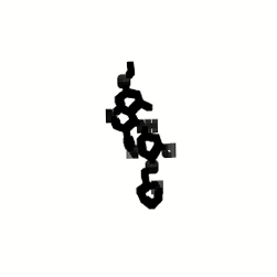 CCOc1cc(C)c2c(Nc3ccc(OCc4ccccn4)c(Cl)c3)c(C#N)cnc2c1